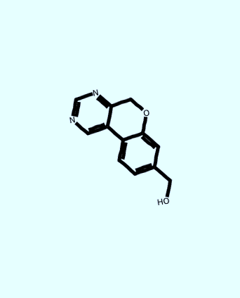 OCc1ccc2c(c1)OCc1ncncc1-2